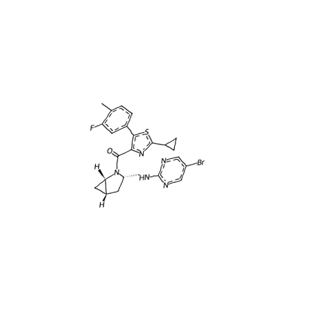 Cc1ccc(-c2sc(C3CC3)nc2C(=O)N2[C@H](CNc3ncc(Br)cn3)C[C@@H]3C[C@@H]32)cc1F